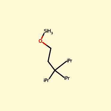 CC(C)C(CCO[SiH3])(C(C)C)C(C)C